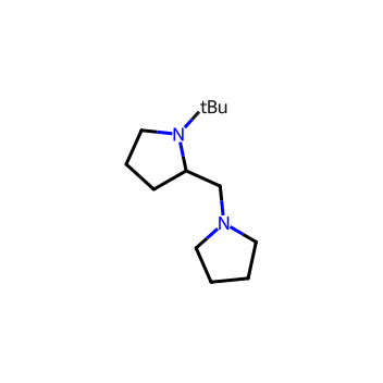 CC(C)(C)N1CCCC1CN1CCCC1